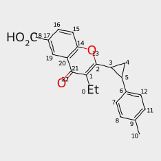 CCc1c(C2CC2c2ccc(C)cc2)oc2ccc(C(=O)O)cc2c1=O